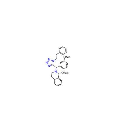 COc1ccc(OC)c(C(c2nnnn2CCc2ccccc2)N2CCc3ccccc3C2)c1